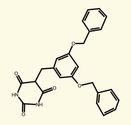 O=C1NC(=O)C(Cc2cc(OCc3ccccc3)cc(OCc3ccccc3)c2)C(=O)N1